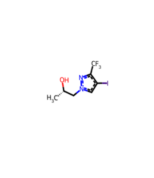 C[C@H](O)Cn1cc(I)c(C(F)(F)F)n1